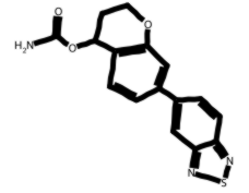 NC(=O)OC1CCOc2cc(-c3ccc4nsnc4c3)ccc21